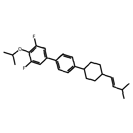 CC(C)C=CC1CCC(c2ccc(-c3cc(F)c(OC(C)C)c(F)c3)cc2)CC1